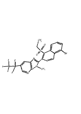 CCS(=O)(=O)c1c(-c2nc3cc(C(F)(F)C(F)(F)F)cnc3n2C)ncc2c(Br)cccc12